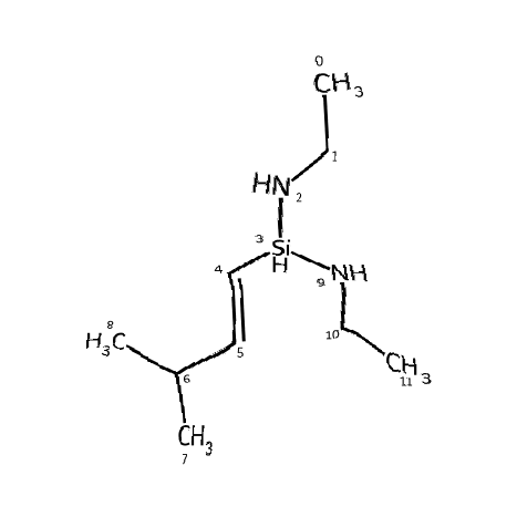 CCN[SiH](C=CC(C)C)NCC